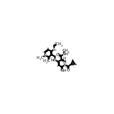 C=CSC1=C(CN/C(=C/C(=N)NC(=O)C2CC2)C(=N)C(=O)NC)C(=C)N(C)C=C1